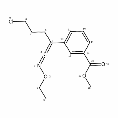 CCON=C=C(CCCCl)c1cccc(C(=O)OC)c1